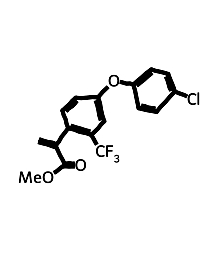 C=C(C(=O)OC)c1ccc(Oc2ccc(Cl)cc2)cc1C(F)(F)F